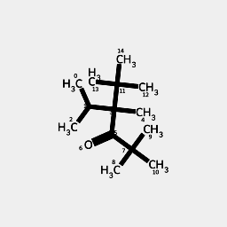 CC(C)C(C)(C(=O)C(C)(C)C)C(C)(C)C